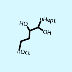 CCCCCCCCCCC(O)C(O)CCCCCCC